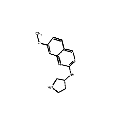 COc1ccc2cnc(NC3CCNC3)nc2c1